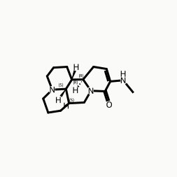 CNC1=CC[C@@H]2[C@H]3CCCN4CCC[C@@H](CN2C1=O)[C@@H]34